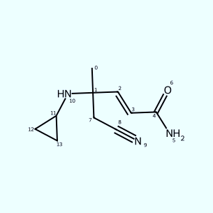 CC(C=CC(N)=O)(CC#N)NC1CC1